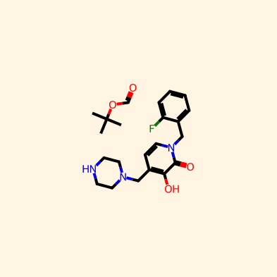 CC(C)(C)OC=O.O=c1c(O)c(CN2CCNCC2)ccn1Cc1ccccc1F